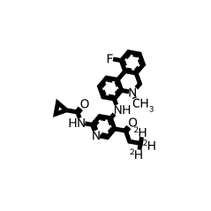 [2H]C([2H])([2H])CC(=O)c1cnc(NC(=O)C2CC2)cc1Nc1cccc2c1N(C)Cc1cccc(F)c1-2